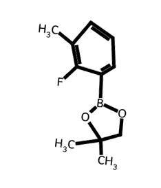 Cc1cccc(B2OCC(C)(C)O2)c1F